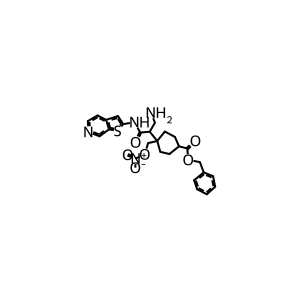 NCC(C(=O)Nc1cc2ccncc2s1)C1(CO[N+](=O)[O-])CCC(C(=O)OCc2ccccc2)CC1